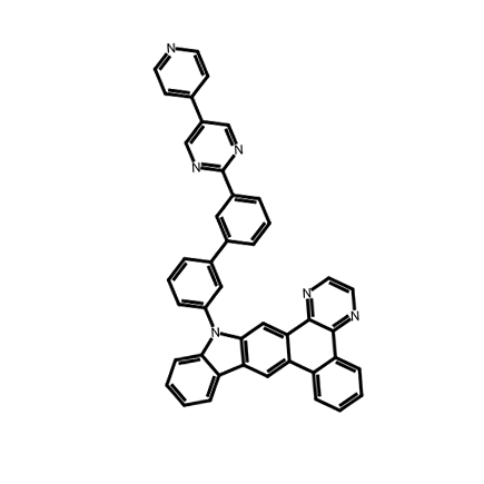 c1cc(-c2cccc(-n3c4ccccc4c4cc5c6ccccc6c6nccnc6c5cc43)c2)cc(-c2ncc(-c3ccncc3)cn2)c1